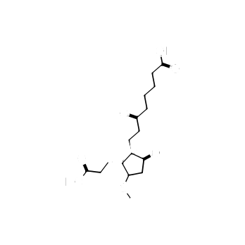 CSC1CC(=O)[C@H](CCC(=O)CCCCC(=O)O)[C@H]1CCC(=O)O